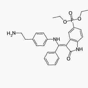 CCOP(=O)(OCC)c1ccc2c(c1)C(=C(Nc1ccc(CCN)cc1)c1ccccc1)C(=O)N2